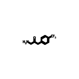 NCC(=O)Cc1ccc(C(F)(F)F)cc1